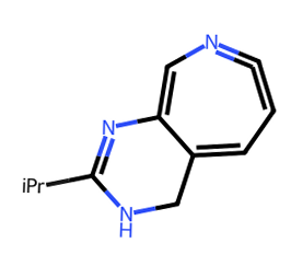 CC(C)C1=NC2=CN=C=CC=C2CN1